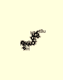 CC(C)(C)CC(=O)Nc1nc2ccc(-c3cc(CC(=O)Nc4nc5cccnc5n4C4CCC4)ccc3F)nc2n1C1CCC1